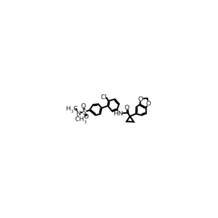 CN(C)S(=O)(=O)c1ccc(-c2cc(NC(=O)C3(c4ccc5c(c4)OCO5)CC3)ccc2Cl)cc1